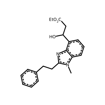 CCOC(=O)CC(O)c1cccc2c1nc(CCc1ccccc1)n2C